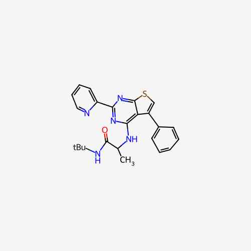 CC(Nc1nc(-c2ccccn2)nc2scc(-c3ccccc3)c12)C(=O)NC(C)(C)C